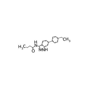 CCCC(=O)Nc1n[nH]c2cc(-c3ccc(CC)cc3)ccc12